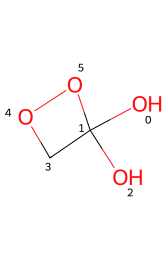 OC1(O)COO1